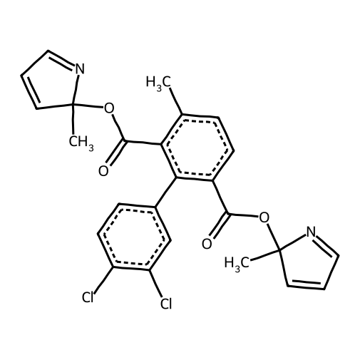 Cc1ccc(C(=O)OC2(C)C=CC=N2)c(-c2ccc(Cl)c(Cl)c2)c1C(=O)OC1(C)C=CC=N1